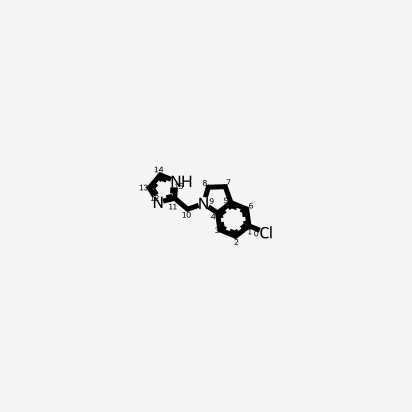 Clc1ccc2c(c1)CCN2Cc1ncc[nH]1